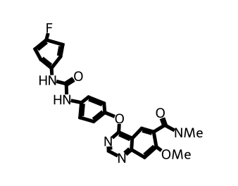 CNC(=O)c1cc2c(Oc3ccc(NC(=O)Nc4ccc(F)cc4)cc3)ncnc2cc1OC